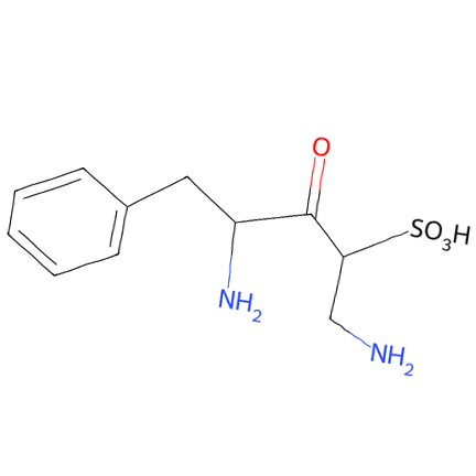 NCC(C(=O)C(N)Cc1ccccc1)S(=O)(=O)O